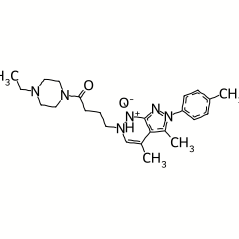 CCN1CCN(C(=O)CCCN2C=C(C)c3c(nn(-c4ccc(C)cc4)c3C)[NH+]2[O-])CC1